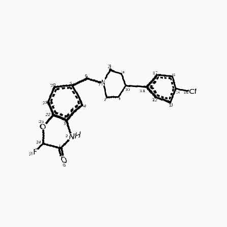 O=C1Nc2cc(CN3CCC(c4ccc(Cl)cc4)CC3)ccc2OC1F